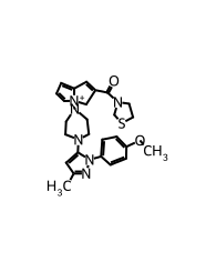 COc1ccc(-n2nc(C)cc2N2CCN([N@@+]34C=CC=C3C=C(C(=O)N3CCSC3)C4)CC2)cc1